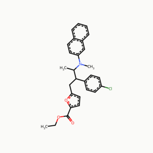 CCOC(=O)c1ccc(CC(c2ccc(Cl)cc2)C(C)N(C)c2ccc3ccccc3c2)o1